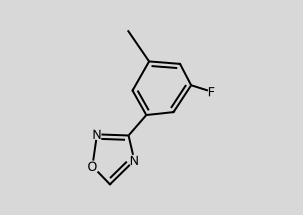 Cc1cc(F)cc(-c2ncon2)c1